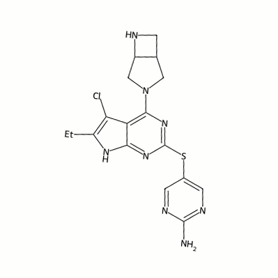 CCc1[nH]c2nc(Sc3cnc(N)nc3)nc(N3CC4CNC4C3)c2c1Cl